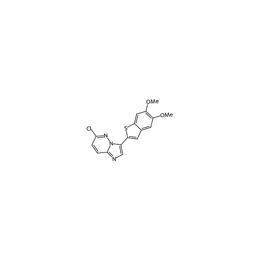 COc1cc2cc(-c3cnc4ccc(Cl)nn34)sc2cc1OC